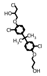 CC(C)(c1ccc(OCCCO)c(Cl)c1)c1ccc(OCC(O)CCl)c(Cl)c1